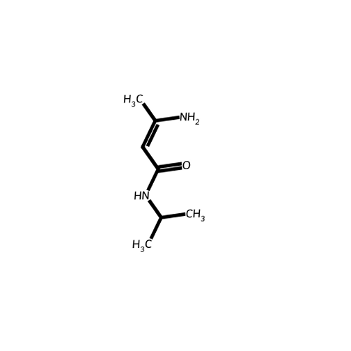 CC(N)=CC(=O)NC(C)C